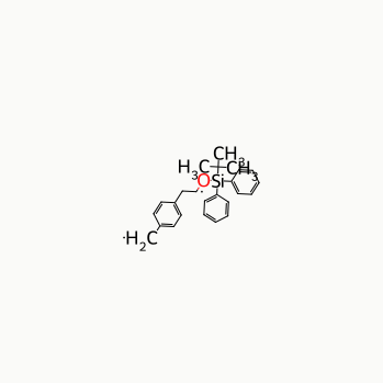 [CH2]c1ccc(C[CH]O[Si](c2ccccc2)(c2ccccc2)C(C)(C)C)cc1